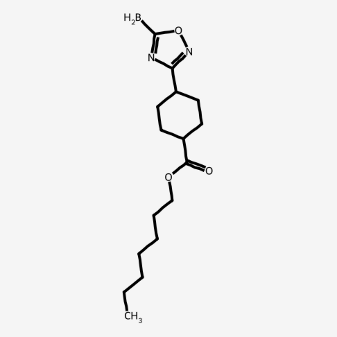 Bc1nc(C2CCC(C(=O)OCCCCCCC)CC2)no1